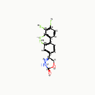 O=C1NN=C(c2ccc(-c3ccc(F)c(F)c3F)c(F)c2)CO1